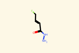 NNC(=O)C=CCF